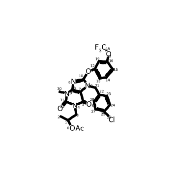 CC(=O)OC(C)Cn1c(=O)c2c(nc(Oc3cccc(OC(F)(F)F)c3)n2Cc2ccc(Cl)cc2)n(C)c1=O